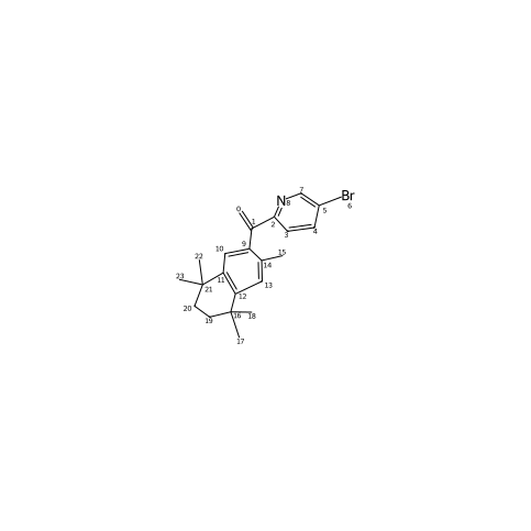 C=C(c1ccc(Br)cn1)c1cc2c(cc1C)C(C)(C)CCC2(C)C